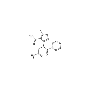 CNC(=O)CN(C(=O)c1ccccc1)c1scc(C)c1C(N)=O